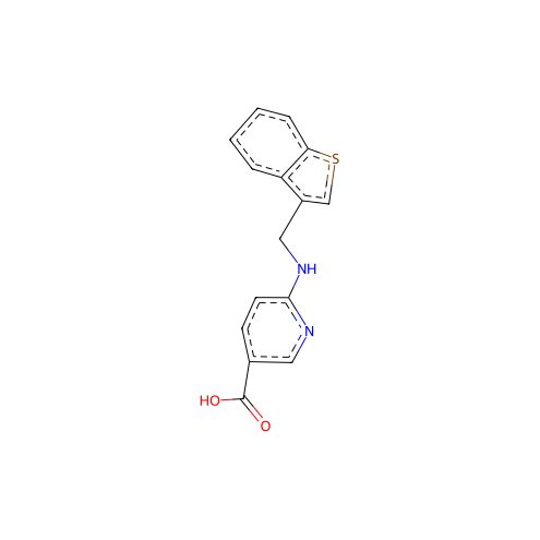 O=C(O)c1ccc(NCc2csc3ccccc23)nc1